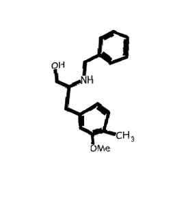 COc1cc(CC(CO)NCc2ccccc2)ccc1C